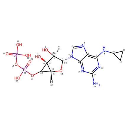 C[C@]1(O)[C@H](n2cnc3c(NC4CC4)nc(N)nc32)O[C@@H]2C(OP(=O)(O)OP(=O)(O)O)[C@@]21O